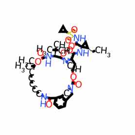 CC[C@H]1C[C@@]1(NC(=O)C1C[C@@H]2CN1C(=O)[C@H](C(C)(C)C)NC(=O)OC(C)(C)CCCCCNC(=O)c1cccc3c1CN(C3)C(=O)O2)C(=O)NS(=O)(=O)C1CC1